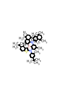 Cc1cc2c3c(c1)N(c1ccc4c(c1)C(C)(C)CCC4(C)C)c1c(ccc4c1C(C)(C)CCC4(C)C)B3c1c(sc3c1C(C)C(C(C)(C)C)C=C3)N2c1ccc(C(C)(C)C)cc1C